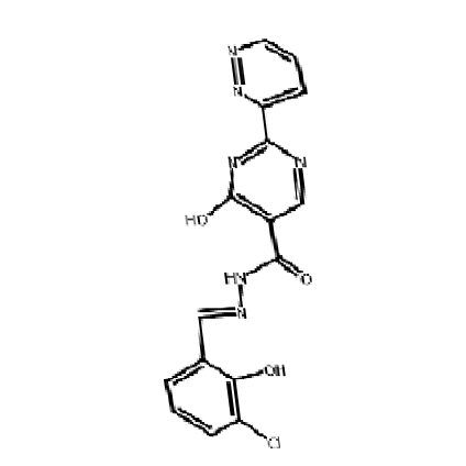 O=C(NN=Cc1cccc(Cl)c1O)c1cnc(-c2cccnn2)nc1O